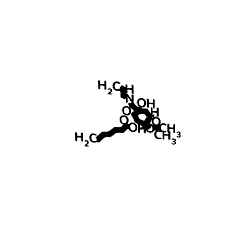 C=CCCCCC(=O)OC1C[C@](O)(C(=O)NCC=C)C[C@H]2OC(C)(C)O[C@@H]12